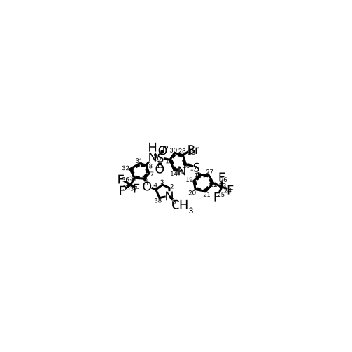 CN1CCC(Oc2cc(NS(=O)(=O)c3cnc(Sc4cccc(C(F)(F)F)c4)c(Br)c3)ccc2C(F)(F)F)C1